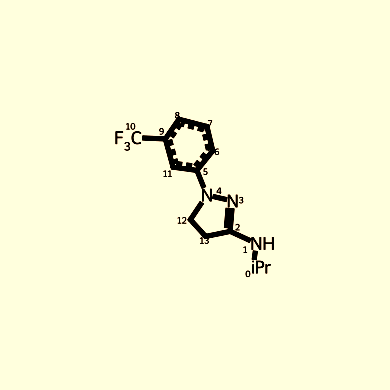 CC(C)NC1=NN(c2cccc(C(F)(F)F)c2)CC1